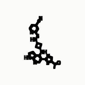 CC(=O)c1cnc(-c2cnc3[nH]ccc3c2N[C@H]2C[C@@H](NSc3cc(C#N)ccn3)C2)s1